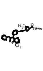 COC(=O)c1ccc(C#Cc2cccc(-c3c(Cc4ccccc4)cnc4c(C(F)(F)F)cccc34)c2)c(C)c1